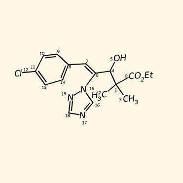 CCOC(=O)C(C)(C)C(O)C(=Cc1ccc(Cl)cc1)n1cncn1